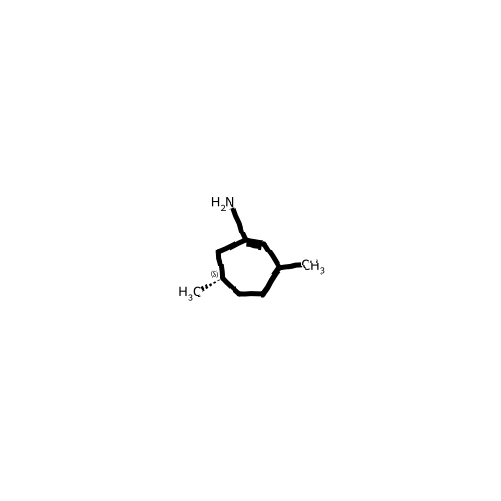 CC1C=C(N)C[C@@H](C)CC1